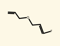 C=CCOCC=CF